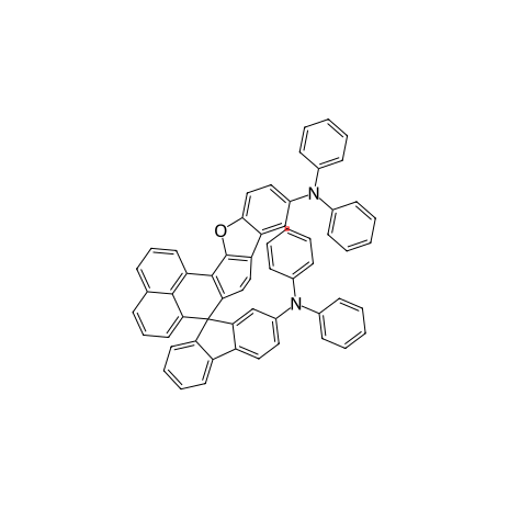 c1ccc(N(c2ccccc2)c2ccc3c(c2)C2(c4ccccc4-3)c3ccc4c(oc5ccc(N(c6ccccc6)c6ccccc6)cc54)c3-c3cccc4cccc2c34)cc1